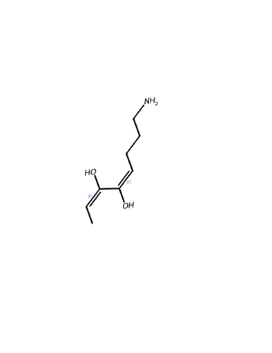 C/C=C(O)\C(O)=C/CCCN